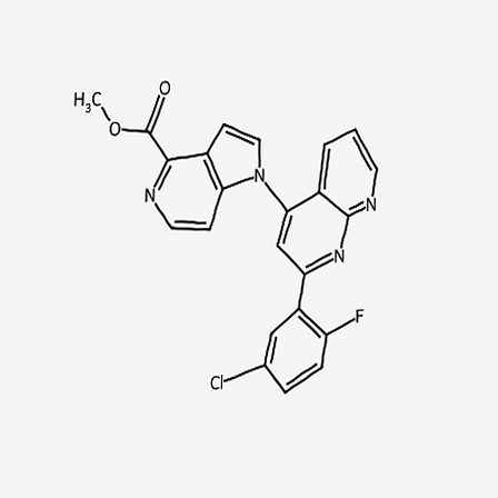 COC(=O)c1nccc2c1ccn2-c1cc(-c2cc(Cl)ccc2F)nc2ncccc12